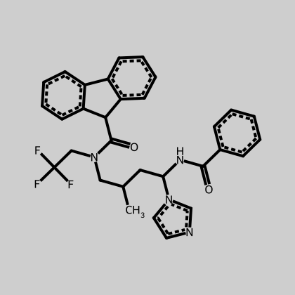 CC(CC(NC(=O)c1ccccc1)n1ccnc1)CN(CC(F)(F)F)C(=O)C1c2ccccc2-c2ccccc21